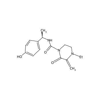 C=C1C(=O)N(C(=O)N[C@H](C)c2ccc(O)cc2)CCN1CC